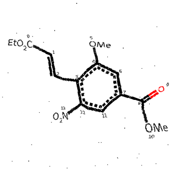 CCOC(=O)C=Cc1c(OC)cc(C(=O)OC)cc1[N+](=O)[O-]